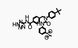 CC(C)(C)c1ccc(N(Cc2ccc(C(=O)Nc3nn[nH]n3)cc2)C(=O)Nc2cccc(S(C)(=O)=O)c2)cc1